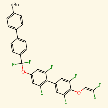 CCCCc1ccc(-c2ccc(C(F)(F)Oc3cc(F)c(-c4cc(F)c(OC=C(F)F)c(F)c4)c(F)c3)cc2)cc1